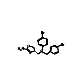 NC1=N[C@@H](CN(Cc2ccc(Br)cc2)c2ccc(Br)cc2)CO1